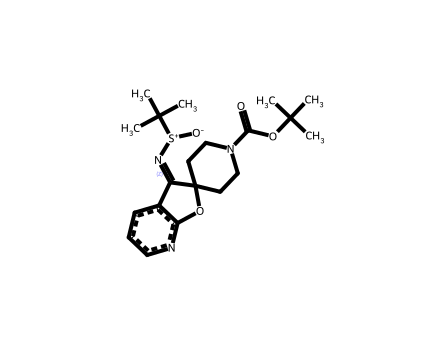 CC(C)(C)OC(=O)N1CCC2(CC1)Oc1ncccc1/C2=N/[S+]([O-])C(C)(C)C